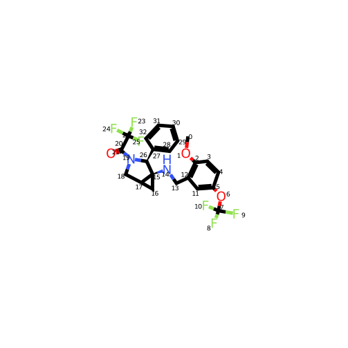 COc1ccc(OC(F)(F)F)cc1CN[C@@]12CC1CN(C(=O)C(F)(F)F)[C@H]2c1ccccc1